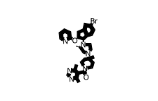 Cc1ncnc(C)c1C(=O)N1CCC(C)(N2CCN([C@@H]3c4ccc(Br)cc4C[C@@H]3Oc3ccccn3)[C@@H](C)C2)CC1